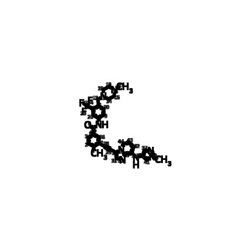 Cc1ccc(C(=O)Nc2ccc(CN3CCN(C)CC3)c(C(F)(F)F)c2)cc1C#Cc1cnc2c(Nc3cnn(C)c3)cccn12